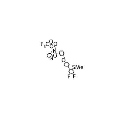 CSc1cc(F)c(F)cc1-c1ccc(OCc2cccc(C(=O)N(CC(=O)OC(=O)C(F)(F)F)Cc3cccnc3)c2)cc1